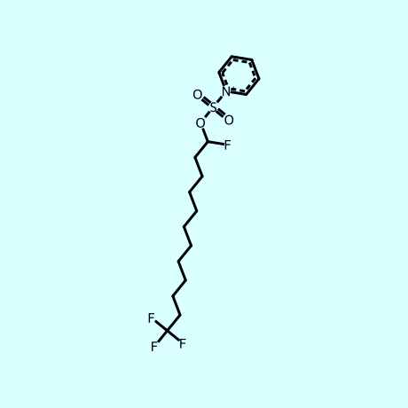 O=S(=O)(OC(F)CCCCCCCCCCC(F)(F)F)[n+]1ccccc1